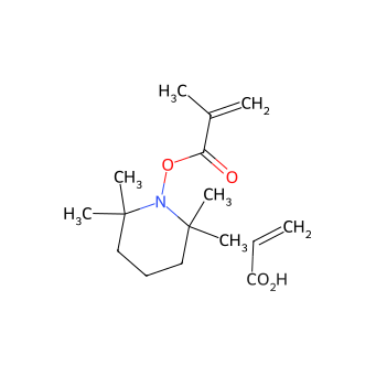 C=C(C)C(=O)ON1C(C)(C)CCCC1(C)C.C=CC(=O)O